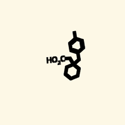 Cc1ccc(CC2(CC(=O)O)CCCCC2)cc1